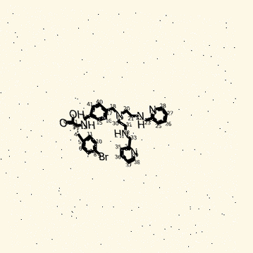 O=C(O)[C@@H](Cc1ccc(Br)cc1)NCc1ccc(CN(CCNCc2ccccn2)CCNCc2ccccn2)cc1